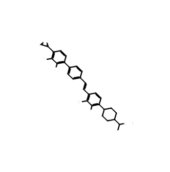 CC(O)C1CCC(c2ccc(/C=C/c3ccc(-c4ccc(C5CO5)c(F)c4F)cc3)c(F)c2F)CC1